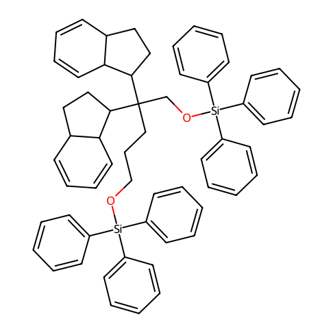 C1=CC2CCC(C(CCCO[Si](c3ccccc3)(c3ccccc3)c3ccccc3)(CO[Si](c3ccccc3)(c3ccccc3)c3ccccc3)C3CCC4C=CC=CC43)C2C=C1